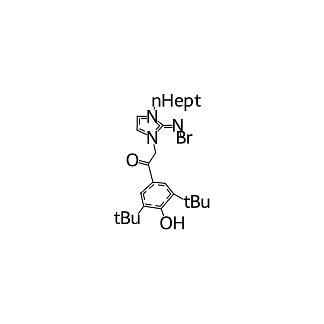 CCCCCCCn1ccn(CC(=O)c2cc(C(C)(C)C)c(O)c(C(C)(C)C)c2)/c1=N\Br